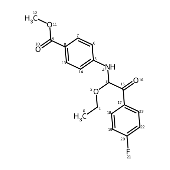 CCOC(Nc1ccc(C(=O)OC)cc1)C(=O)c1ccc(F)cc1